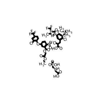 CCOC(=O)COC(=O)c1cc(Oc2ccc(C(F)(F)F)cc2Cl)ccc1[N+](=O)[O-].C[S+](C)C.Cc1nn(-c2cc(CC(Cl)C(=O)O)c(Cl)cc2F)c(=O)n1C(F)F.O=C(O)CNCP(=O)([O-])O